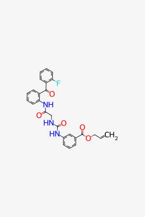 C=CCOC(=O)c1cccc(NC(=O)NCC(=O)Nc2ccccc2C(=O)c2ccccc2F)c1